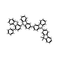 CC1(C)c2ccccc2-c2ccc(-n3c4ccccc4c4cc(-c5ccc6c(c5)c5ccccc5n6-c5ccc(-c6ccccc6)c6c5oc5ccccc56)ccc43)cc21